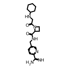 N=C(N)c1ccc(CNC(=O)C2CCN2C(=O)CNC2CCCCC2)cn1